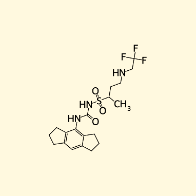 CC(CCNCC(F)(F)F)S(=O)(=O)NC(=O)Nc1c2c(cc3c1CCC3)CCC2